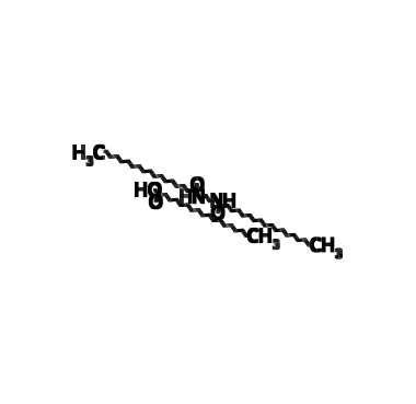 CCCCCCCCCCCCCCCCCC(=O)NCCNC(=O)CCCCCCCCCCCCCCCCC.CCCCCCCCCCCCCCCCCC(=O)O